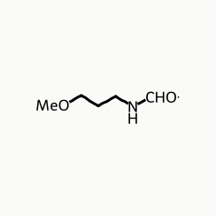 COCCCN[C]=O